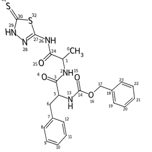 CC(NC(=O)C(Cc1ccccc1)NC(=O)OCc1ccccc1)C(=O)Nc1n[nH]c(=S)s1